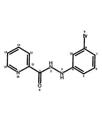 O=C(NNc1cccc(Br)c1)c1ccccn1